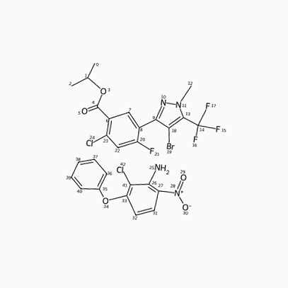 CC(C)OC(=O)c1cc(-c2nn(C)c(C(F)(F)F)c2Br)c(F)cc1Cl.Nc1c([N+](=O)[O-])ccc(Oc2ccccc2)c1Cl